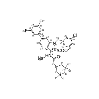 CC1(C)CC(CC(=O)Nc2c(C(=O)[O-])n(Cc3cccc(Cl)c3)c3cc(-c4cc(F)cc(F)c4)ccc23)CC(C)(C)C1.[Na+]